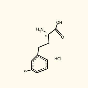 Cl.N[C@@H](CCc1cccc(F)c1)C(=O)O